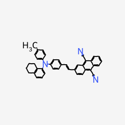 Cc1ccc(N(c2ccc(C=Cc3ccc4c(C#N)c5ccccc5c(C#N)c4c3)cc2)c2cccc3c2CCCC3)cc1